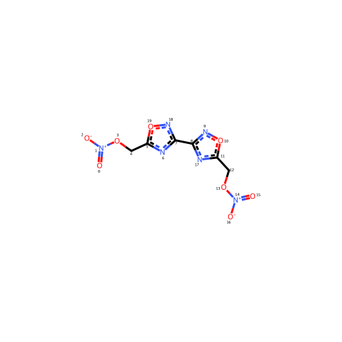 O=[N+]([O-])OCc1nc(-c2noc(CO[N+](=O)[O-])n2)no1